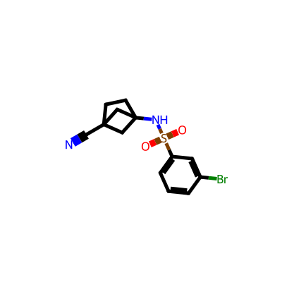 N#CC12CCC(NS(=O)(=O)c3cccc(Br)c3)(C1)C2